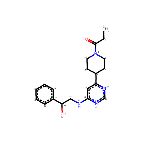 CCC(=O)N1CCC(c2cc(NCC(O)c3ccccc3)ncn2)CC1